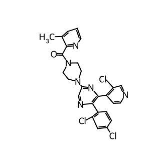 Cc1cccnc1C(=O)N1CCN(c2cnc(-c3ccc(Cl)cc3Cl)c(-c3ccncc3Cl)n2)CC1